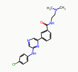 CN(C)CCNC(=O)c1cccc(-c2cncc(Nc3ccc(Cl)cc3)n2)c1